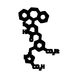 CCOC(=O)c1cc(Cn2cc(C(=O)O)cn2)cc(Cn2cc(C3c4ccccc4C=Cc4ccccc43)c(=S)[nH]c2=O)c1